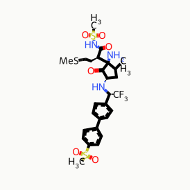 CSCC[C@@H](C(=O)NS(C)(=O)=O)C1(N)C(=O)[C@@H](N[C@@H](c2ccc(-c3ccc(S(C)(=O)=O)cc3)cc2)C(F)(F)F)CC1C